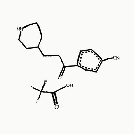 N#Cc1ccc(C(=O)CCC2CCNCC2)cc1.O=C(O)C(F)(F)F